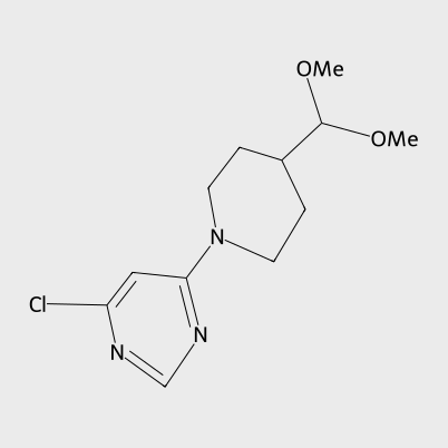 COC(OC)C1CCN(c2cc(Cl)ncn2)CC1